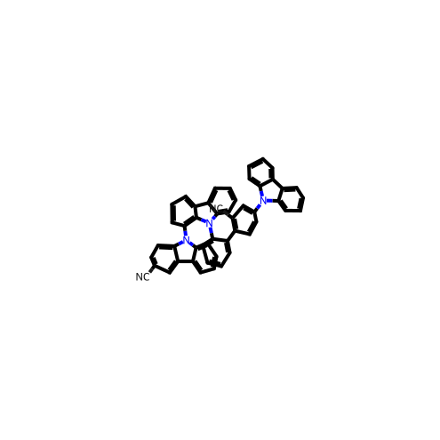 N#Cc1ccc2c(c1)c1ccccc1n2-c1cccc2c3ccccc3n(-c3ccccc3-c3ccc(-n4c5ccccc5c5ccccc54)cc3C#N)c12